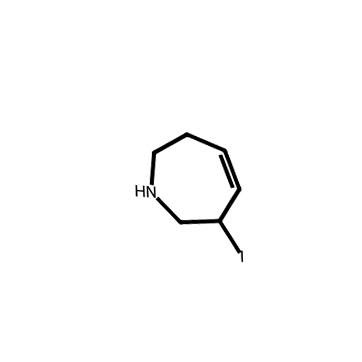 IC1C=CCCNC1